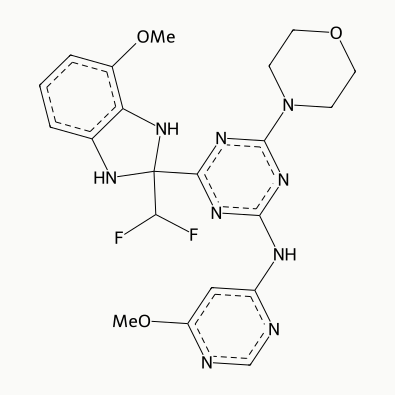 COc1cc(Nc2nc(N3CCOCC3)nc(C3(C(F)F)Nc4cccc(OC)c4N3)n2)ncn1